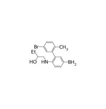 Bc1ccc(NCC(O)CC)c(-c2cc(Br)ccc2C)c1